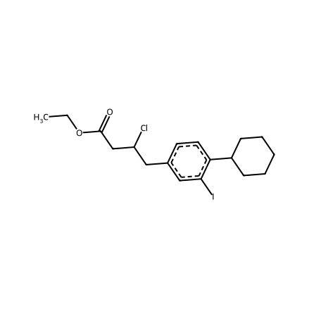 CCOC(=O)CC(Cl)Cc1ccc(C2CCCCC2)c(I)c1